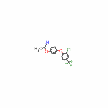 CC(C#N)Oc1ccc(Oc2ccc(C(F)(F)F)cc2Cl)cc1